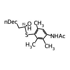 CCCCCCCCCCC[C@@H](O)Sc1c(C)cc(NC(C)=O)c(C)c1C